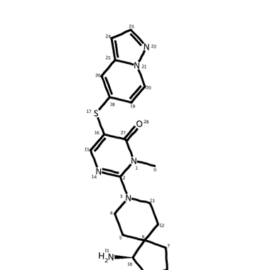 Cn1c(N2CCC3(CCC[C@H]3N)CC2)ncc(Sc2ccn3nccc3c2)c1=O